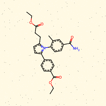 CCOC(=O)CCc1ccc(-c2ccc(C(=O)OCC)cc2)n1-c1ccc(C(N)=O)cc1C